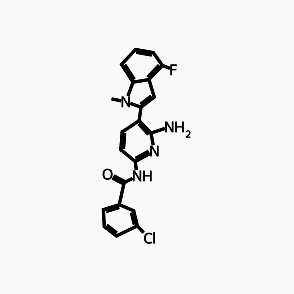 Cn1c(-c2ccc(NC(=O)c3cccc(Cl)c3)nc2N)cc2c(F)cccc21